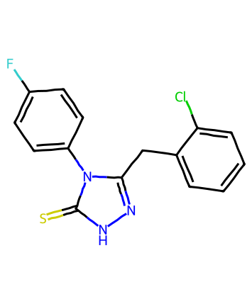 Fc1ccc(-n2c(Cc3ccccc3Cl)n[nH]c2=S)cc1